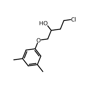 Cc1cc(C)cc(OCC(O)CCCl)c1